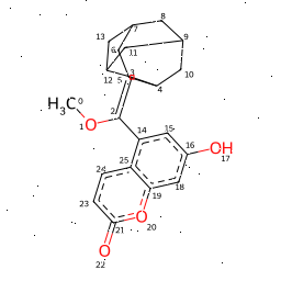 CO/C(=C1/C2CCC3CC(C2)CC1C3)c1cc(O)cc2oc(=O)ccc12